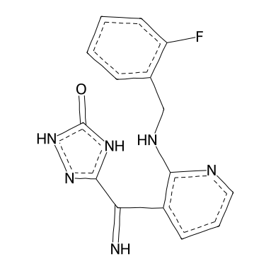 N=C(c1n[nH]c(=O)[nH]1)c1cccnc1NCc1ccccc1F